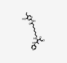 CCc1cnc(NC(=O)CCCCCCCN/C(C(=O)C=O)=C(/C)Nc2ccncc2)nc1O